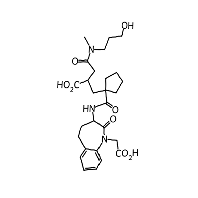 CN(CCCO)C(=O)CC(CC1(C(=O)NC2CCc3ccccc3N(CC(=O)O)C2=O)CCCC1)C(=O)O